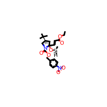 CCOC(=O)C=C[C@@]1(O[SiH](C)C)C[C@H](C(C)(C)C)CN1C(=O)OCc1ccc([N+](=O)[O-])cc1